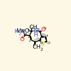 C=C1/C=C(/C(N)=O)C(C)(OC)NC(=O)c2ccsc21